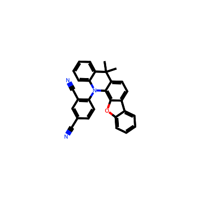 CC1(C)c2ccccc2N(c2ccc(C#N)cc2C#N)c2c1ccc1c2oc2ccccc21